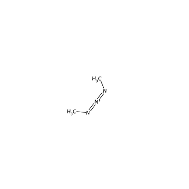 CN=[N+]=NC